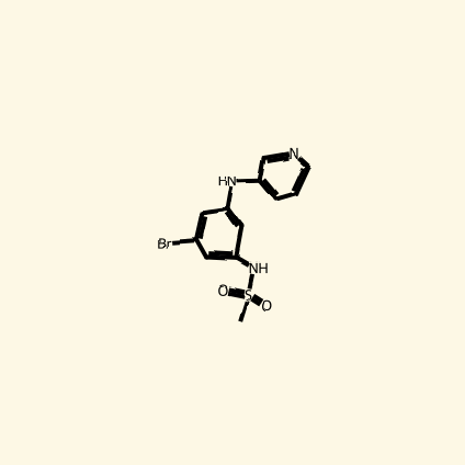 CS(=O)(=O)Nc1cc(Br)cc(Nc2cccnc2)c1